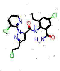 CCc1cc(Cl)cc(C(N)=O)c1NC(=O)c1cc(CCCl)nn1-c1ncccc1Cl